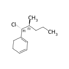 CCC[C@H](C)[C@@H](Cl)C1=CC=CCC1